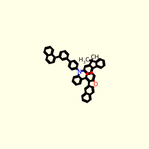 CC1(C)c2ccccc2-c2ccc(N(c3ccc(-c4cccc(-c5cccc6ccccc56)c4)cc3)c3ccccc3-c3cccc4oc5cc6ccccc6cc5c34)cc21